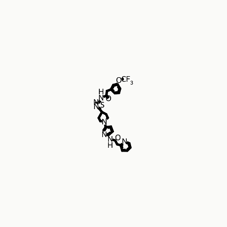 O=C(Cc1ccccn1)Nc1ccc(N2CCC(c3nnc(NC(=O)Cc4cccc(OC(F)(F)F)c4)s3)CC2)cn1